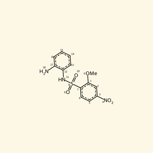 COc1cc([N+](=O)[O-])ccc1S(=O)(=O)Nc1ccccc1N